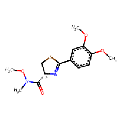 COc1ccc(C2=N[C@H](C(=O)N(C)OC)CS2)cc1OC